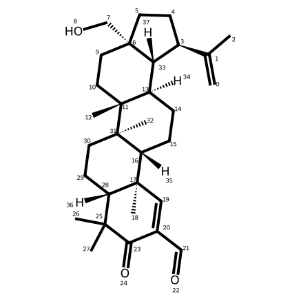 C=C(C)[C@@H]1CC[C@]2(CO)CC[C@]3(C)[C@H](CC[C@@H]4[C@@]5(C)C=C(C=O)C(=O)C(C)(C)[C@@H]5CC[C@]43C)[C@@H]12